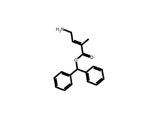 CC(=CCN)C(=O)OC(c1ccccc1)c1ccccc1